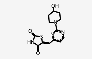 O=C1NC(=O)C(=Cc2ccnc(N3CCC(O)CC3)n2)S1